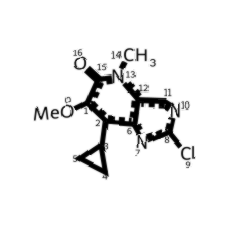 COc1c(C2CC2)c2nc(Cl)ncc2n(C)c1=O